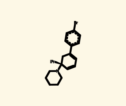 CC(C)[C@]1(N2CCCCC2)C=CC=C(c2ccc(Br)cc2)C1